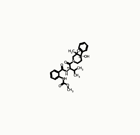 COC(=O)Nc1ccccc1C(=O)N[C@@H](C(=O)N1CC[C@](O)(c2ccccc2)C(C)(C)C1)C(C)C